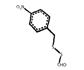 O=[C]SSCc1ccc([N+](=O)[O-])cc1